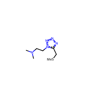 CSCc1nnnn1CCN(C)C